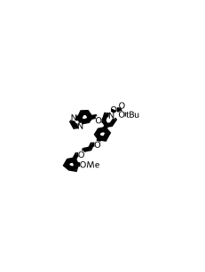 COc1ccccc1COCCCOc1ccc(C2CCN(OC(=O)OC(C)(C)C)CC2OCc2ccc3nccnc3c2)cc1